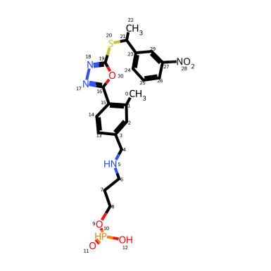 Cc1cc(CNCCCO[PH](=O)O)ccc1-c1nnc(SC(C)c2cccc([N+](=O)[O-])c2)o1